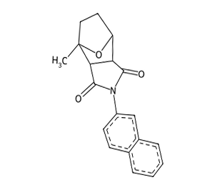 CC12CCC(O1)C1C(=O)N(c3ccc4ccccc4c3)C(=O)C12